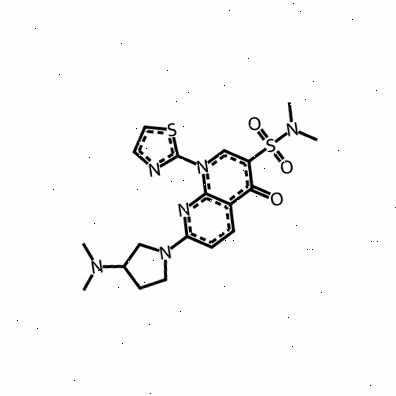 CN(C)C1CCN(c2ccc3c(=O)c(S(=O)(=O)N(C)C)cn(-c4nccs4)c3n2)C1